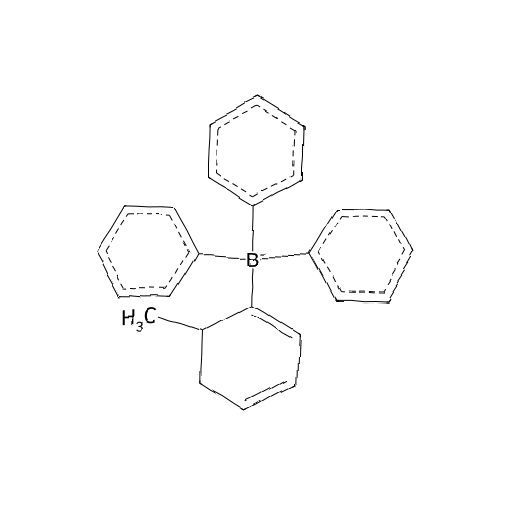 CC1CC=CC=C1[B-](c1ccccc1)(c1ccccc1)c1ccccc1